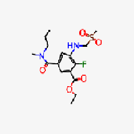 CCCN(C)C(=O)c1cc(NCS(C)(=O)=O)c(F)c(C(=O)OCC)c1